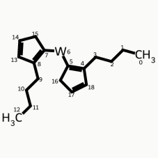 CCCCC1=[C]([W][C]2=C(CCCC)C=CC2)CC=C1